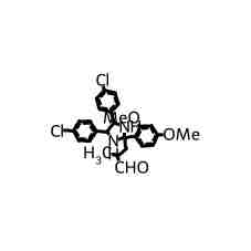 COc1ccc(C2(CC(C)C=O)NC(c3ccc(Cl)cc3)C(c3ccc(Cl)cc3)N2)c(OC)c1